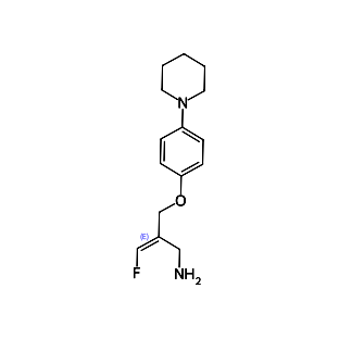 NC/C(=C\F)COc1ccc(N2CCCCC2)cc1